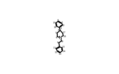 [c]1ccc(C2CCN(CCc3ccccc3)CC2)cc1